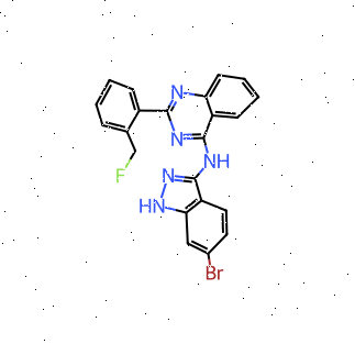 FCc1ccccc1-c1nc(Nc2n[nH]c3cc(Br)ccc23)c2ccccc2n1